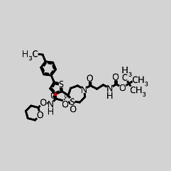 CCc1ccc(-c2ccc([C@@]3(CC(=O)NOC4CCCCO4)CCN(C(=O)CCNC(=O)OC(C)(C)C)CCS3(=O)=O)s2)cc1